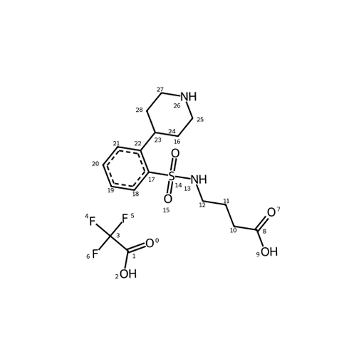 O=C(O)C(F)(F)F.O=C(O)CCCNS(=O)(=O)c1ccccc1C1CCNCC1